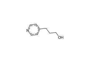 OCC[CH]c1ccncc1